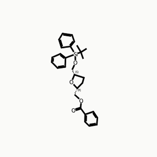 CC(C)(C)[Si](OC[C@@H]1CC[C@H](COC(=O)c2ccccc2)O1)(c1ccccc1)c1ccccc1